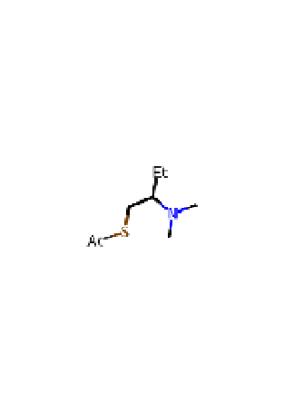 CCC(CSC(C)=O)N(C)C